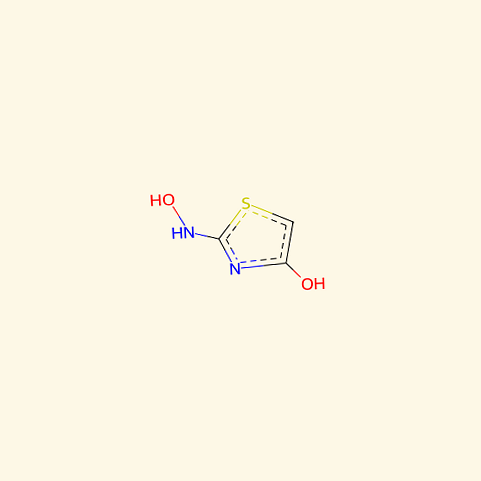 ONc1nc(O)cs1